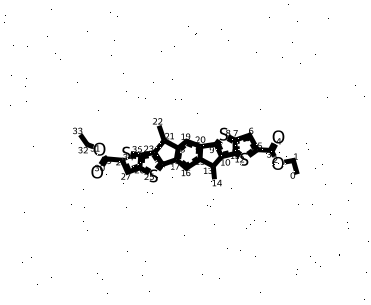 CCOC(=O)c1cc2sc3c(c2s1)C(C)c1cc2c(cc1-3)C(C)c1c-2sc2cc(C(=O)OCC)sc12